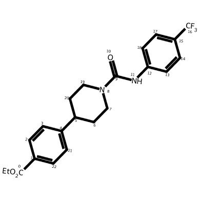 CCOC(=O)c1ccc(C2CCN(C(=O)Nc3ccc(C(F)(F)F)cc3)CC2)cc1